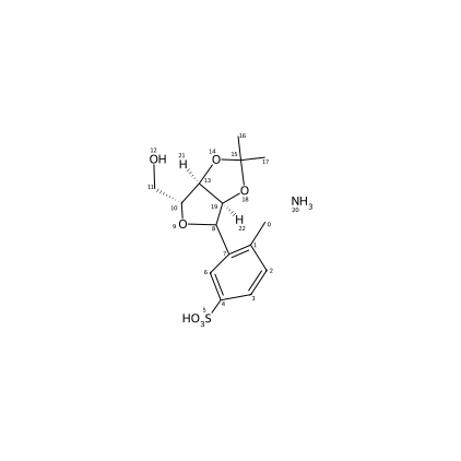 Cc1ccc(S(=O)(=O)O)cc1C1O[C@H](CO)[C@H]2OC(C)(C)O[C@@H]12.N